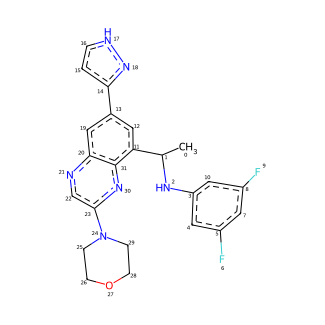 CC(Nc1cc(F)cc(F)c1)c1cc(-c2cc[nH]n2)cc2ncc(N3CCOCC3)nc12